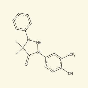 CC1(C)C(=O)[SH](c2ccc(C#N)c(C(F)(F)F)c2)NN1c1ccccc1